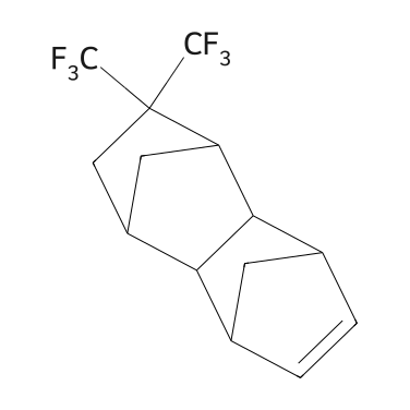 FC(F)(F)C1(C(F)(F)F)CC2CC1C1C3C=CC(C3)C21